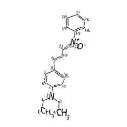 CCN(CC)c1ccc(C=CC=[N+]([O-])c2ccccc2)cc1